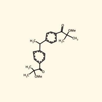 COC(C)(C)C(=O)c1ccc(C(C)c2ccc(C(=O)C(C)(C)OC)cc2)cc1